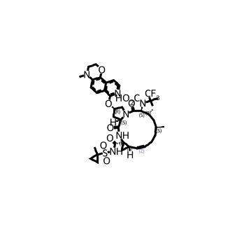 C[C@H]1CC/C=C\[C@@H]2C[C@@]2(C(=O)NS(=O)(=O)C2(C)CC2)NC(=O)[C@@H]2C[C@@H](Oc3nccc4c5c(ccc34)N(C)CCO5)CN2C(=O)[C@@H](N(C(=O)O)C(C)(C)C(F)(F)F)[C@H](C)C1